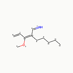 C=C/C(OC)=C(\C=N)CCCCC